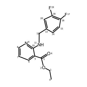 CCOC(=O)c1cccnc1NCc1ccc(F)c(F)c1